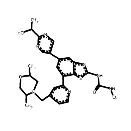 CCNC(=O)Nc1nc2cc(-c3cnc(C(C)O)nc3)cc(-c3cc(CN4CC(C)OCC4C)ccn3)c2s1